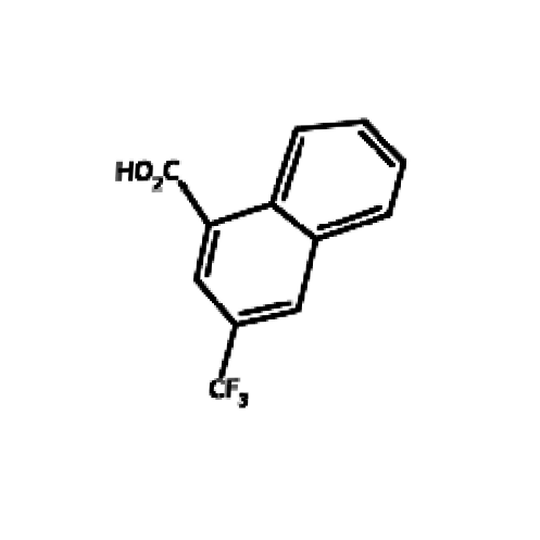 O=C(O)c1cc(C(F)(F)F)cc2ccccc12